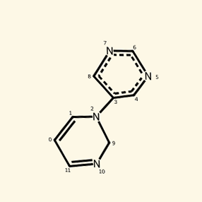 C1=CN(c2cncnc2)CN=C1